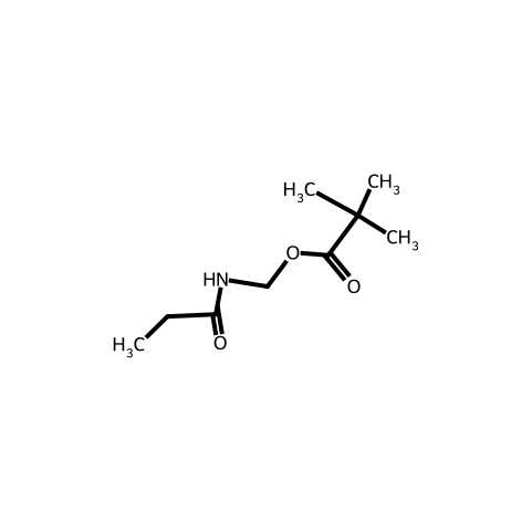 CCC(=O)NCOC(=O)C(C)(C)C